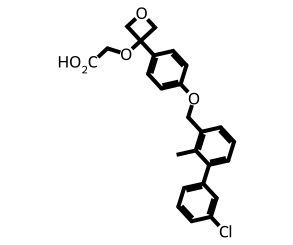 Cc1c(COc2ccc(C3(OCC(=O)O)COC3)cc2)cccc1-c1cccc(Cl)c1